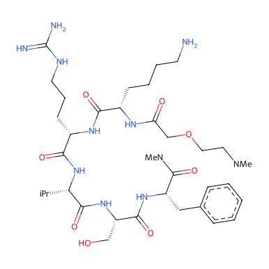 CNCCOCC(=O)N[C@@H](CCCCN)C(=O)N[C@@H](CCCNC(=N)N)C(=O)N[C@H](C(=O)N[C@@H](CO)C(=O)N[C@@H](Cc1ccccc1)C(=O)NC)C(C)C